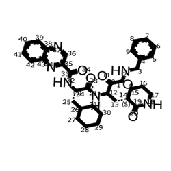 O=C(NCc1ccccc1)C(=O)C(C[C@@H]1CCCNC1=O)NC(=O)[C@H](CC1CCCCC1)NC(=O)c1cnc2ccccc2n1